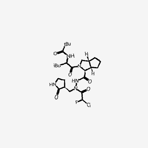 CCC(C)C(NC(=O)C(C)(C)C)C(=O)N1C[C@@H]2CCC[C@@H]2[C@H]1C(=O)NN(C[C@@H]1CCNC1=O)C(=O)C(F)Cl